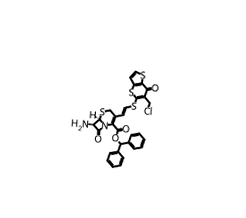 N[C@@H]1C(=O)N2C(C(=O)OC(c3ccccc3)c3ccccc3)=C(/C=C/Sc3sc4ccsc4c(=O)c3CCl)CS[C@H]12